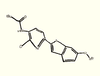 CCCOc1ccc2cc(-c3ccc(NC(=O)C(C)(C)C)c(Cl)n3)sc2c1